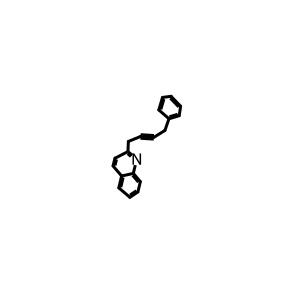 C(#CCc1ccc2ccccc2n1)Cc1ccccc1